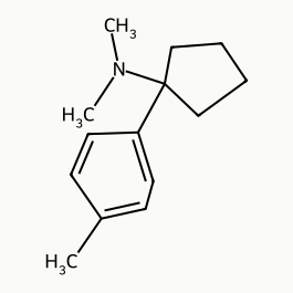 Cc1ccc(C2(N(C)C)CCCC2)cc1